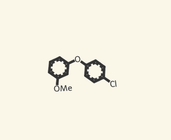 [CH2]Oc1cccc(Oc2ccc(Cl)cc2)c1